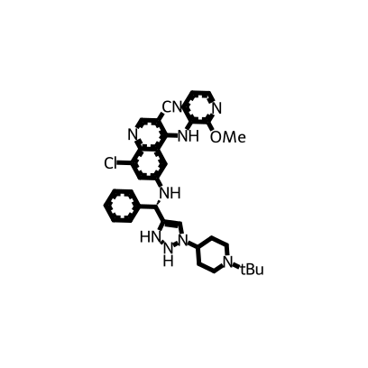 COc1ncccc1Nc1c(C#N)cnc2c(Cl)cc(N[C@H](C3=CN(C4CCN(C(C)(C)C)CC4)NN3)c3ccccc3)cc12